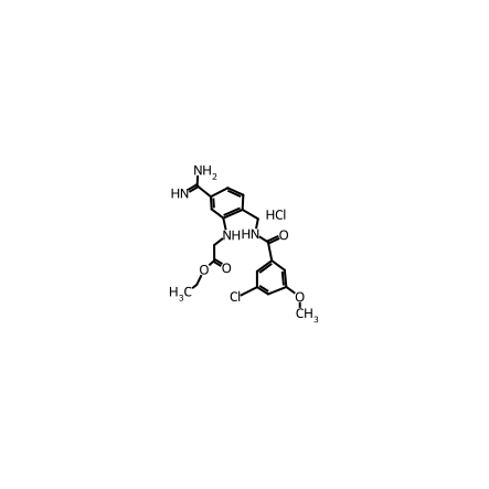 CCOC(=O)CNc1cc(C(=N)N)ccc1CNC(=O)c1cc(Cl)cc(OC)c1.Cl